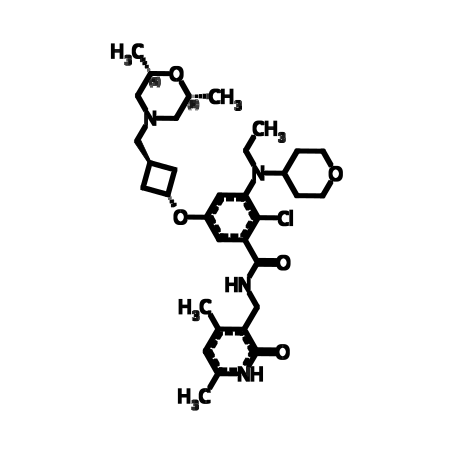 CCN(c1cc(O[C@H]2C[C@H](CN3C[C@@H](C)O[C@@H](C)C3)C2)cc(C(=O)NCc2c(C)cc(C)[nH]c2=O)c1Cl)C1CCOCC1